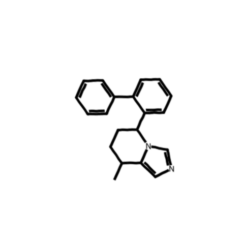 CC1CCC(c2ccccc2-c2ccccc2)n2cncc21